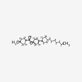 CCCCCCCC1CCC(c2ccc(OC(=O)C3CCC(C)CC3)cc2)CC1